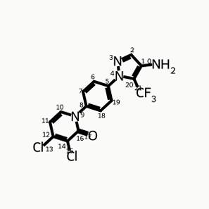 Nc1cnn(-c2ccc(-n3ccc(Cl)c(Cl)c3=O)cc2)c1C(F)(F)F